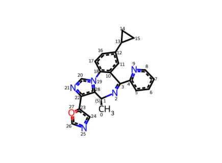 C[C@@H]1N=C(c2ccccn2)c2cc(C3CC3)ccc2-n2cnc(-c3cnco3)c21